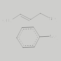 O=C/C=C/C[N+](=O)[O-].O=[N+]([O-])c1ccccc1